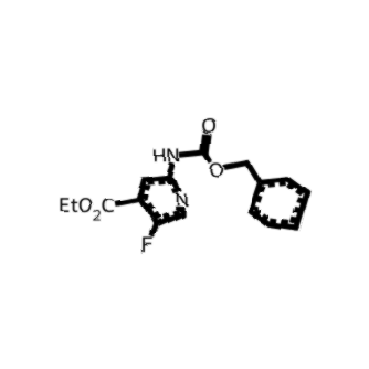 CCOC(=O)c1cc(NC(=O)OCc2ccccc2)ncc1F